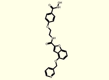 O=C(NO)c1ccc(OCCNC(=O)c2cc3c(OCc4cccnc4)cccc3o2)cc1